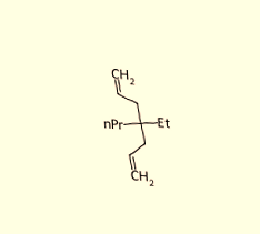 C=CCC(CC)(CC=C)CCC